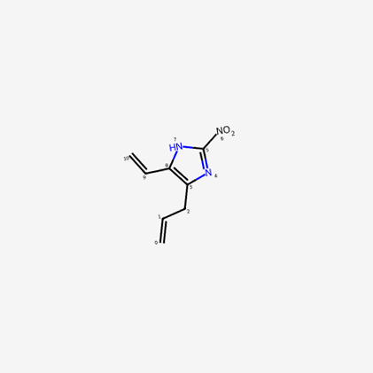 C=CCc1nc([N+](=O)[O-])[nH]c1C=C